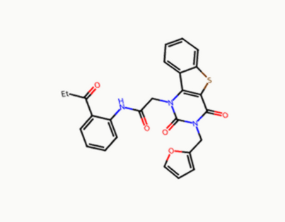 CCC(=O)c1ccccc1NC(=O)Cn1c(=O)n(Cc2ccco2)c(=O)c2sc3ccccc3c21